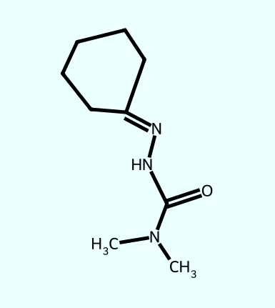 CN(C)C(=O)NN=C1CCCCC1